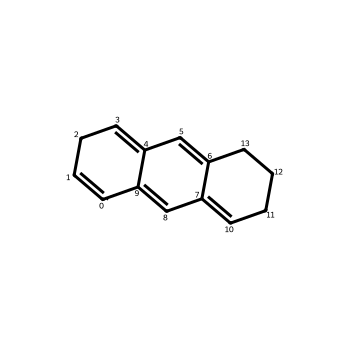 [C]1=CCC=c2cc3c(cc21)=CCCC3